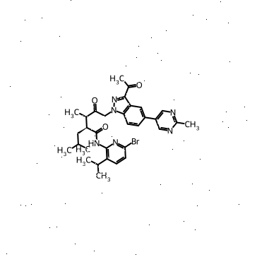 CC(=O)c1nn(CC(=O)C(C)[C@H](CC(C)C)C(=O)Nc2nc(Br)ccc2C(C)C)c2ccc(-c3cnc(C)nc3)cc12